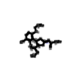 COCOc1ccc(Cl)c(Cl)c1[C@H]1C/C(=C/C(=O)OC)CN1C(=O)OC(C)(C)C